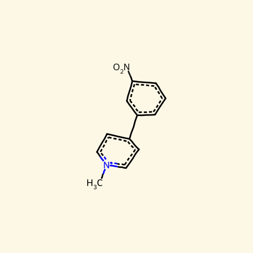 C[n+]1ccc(-c2cccc([N+](=O)[O-])c2)cc1